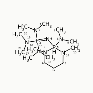 CN(C)P(=N[PH]1(N(C)C)N(C)CCCN1C)(N(C)C)N(C)C